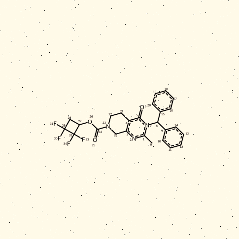 Cc1nc2c(c(=O)n1C(c1ccccc1)c1ccccc1)CCN(C(=O)OC1CC(F)(F)C1(F)F)C2